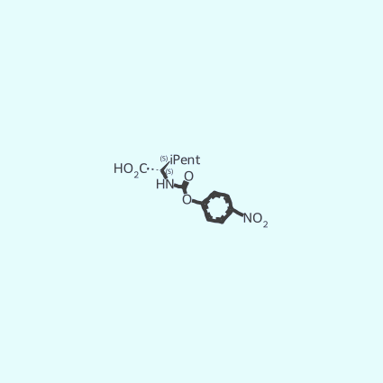 CCC[C@H](C)[C@H](NC(=O)Oc1ccc([N+](=O)[O-])cc1)C(=O)O